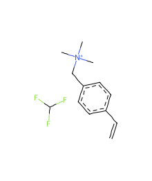 C=Cc1ccc(C[N+](C)(C)C)cc1.FC(F)F